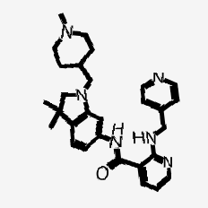 CN1CCC(CN2CC(C)(C)c3ccc(NC(=O)c4cccnc4NCc4ccncc4)cc32)CC1